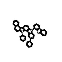 c1ccc(-c2ccc3c(c2)c2c(ccc4c5c6ccccc6ccc5n(-c5ccccc5)c42)n3-c2cccc3c2sc2ccccc23)cc1